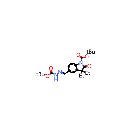 CCC1(CC)C(=O)N(C(=O)OC(C)(C)C)c2ccc(/C=N/NC(=O)OC(C)(C)C)cc21